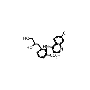 O=C(O)c1cccc(CC(O)CO)c1Nc1ccnc2cc(Cl)ccc12